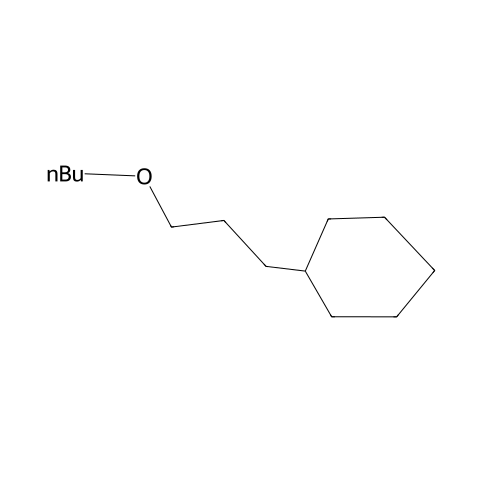 CCCCOCCCC1CCCCC1